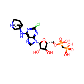 O=P(O)(O)CP(=O)(O)OC[C@H]1O[C@@H](n2cnc3c(NC4CN5CCC4CC5)nc(Cl)nc32)[C@@H](O)C1O